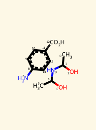 CC(O)NC(C)O.Nc1ccc(C(=O)O)cc1